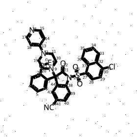 CCOc1ccccc1C1(N2CCN(c3ccncc3)CC2)C(=O)N(S(=O)(=O)c2ccc(Cl)c3ccccc23)c2ccc(C#N)cc21